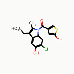 CC1=C(CC(=O)O)C2=CC(O)=C(Cl)CC2N1C(=O)c1csc(O)c1